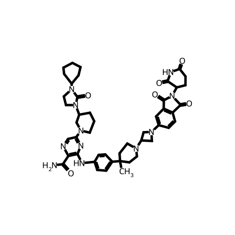 CC1(c2ccc(Nc3nc(N4CCCC(N5CCN(C6CCCCC6)C5=O)C4)cnc3C(N)=O)cc2)CCN(C2CN(c3ccc4c(c3)C(=O)N(C3CCC(=O)NC3=O)C4=O)C2)CC1